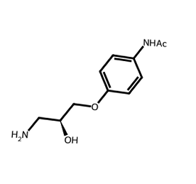 CC(=O)Nc1ccc(OC[C@@H](O)CN)cc1